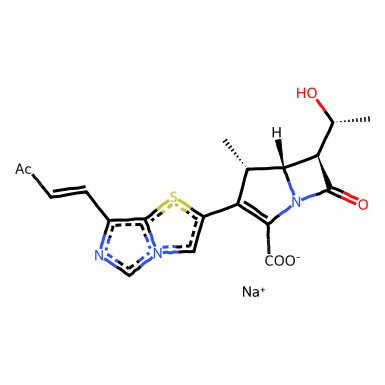 CC(=O)/C=C/c1ncn2cc(C3=C(C(=O)[O-])N4C(=O)[C@H]([C@@H](C)O)[C@H]4[C@H]3C)sc12.[Na+]